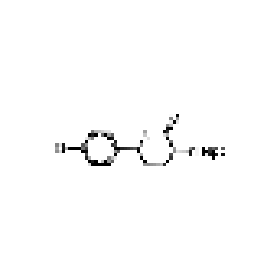 CCCCCCCC1CCC(c2ccc(CC)cc2)OC1=O